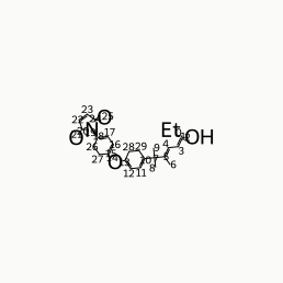 CC/C(O)=C\C=C(/C)C(C)(C)C1=CC=C(OC2=CC=C(N3C(=O)C=CC3=O)CC2)CC1